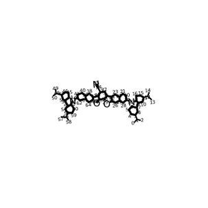 CC(C)c1ccc2c(c1)c1cc(C(C)C)ccc1n2-c1ccc2cc3c(cc2c1)oc1c3cc(C#N)c2c3cc4ccc(-n5c6ccc(C(C)C)cc6c6cc(C(C)C)ccc65)cc4cc3oc12